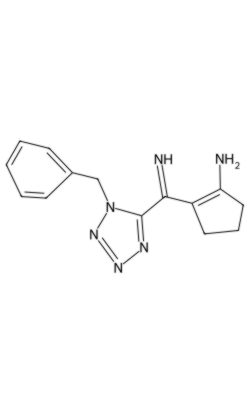 N=C(C1=C(N)CCC1)c1nnnn1Cc1ccccc1